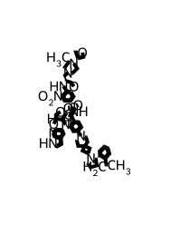 C=C(C)c1ccccc1[C@@H]1CCCN1C1CC2(CCN(c3ccc(C(=O)NS(=O)(=O)c4cc5c(c([N+](=O)[O-])c4)N[C@@H](CN4CCN(C6COC6)[C@H](C)C4)CO5)c(N4c5cc6cc[nH]c6nc5O[C@@H]5COC[C@@H]54)c3)CC2)C1